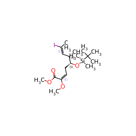 COC(=O)/C(=C\C[C@H](O[Si](C)(C)C(C)(C)C)[C@@H](C)/C=C(\C)I)OC